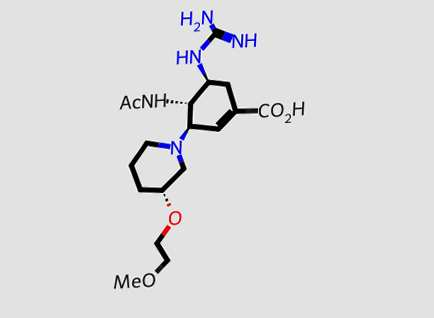 COCCO[C@@H]1CCCN([C@@H]2C=C(C(=O)O)C[C@H](NC(=N)N)[C@H]2NC(C)=O)C1